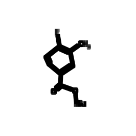 CCCCOC(=O)c1ccc(F)c(C)c1